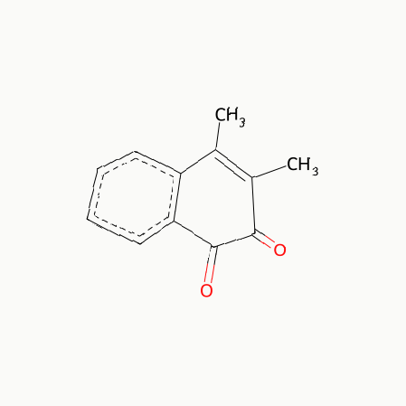 CC1=C(C)c2ccccc2C(=O)C1=O